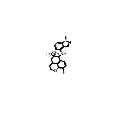 Cn1ncc2c(NC3c4ccc(F)c5c4C(CCO5)CC3(O)C(F)(F)F)cccc21